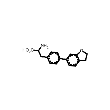 N[C@@H](Cc1ccc(-c2ccc3c(c2)OCC3)cc1)C(=O)O